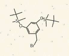 CC(C)(C)[Si](C)(C)Oc1cc(CBr)cc(O[Si](C)(C)C(C)(C)C)c1